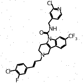 O=C(NCc1ccnc(Cl)c1)n1c2c(c3ccc(C(F)(F)F)cc31)CN(CC=Cc1ccc(Cl)c(F)c1)CC2